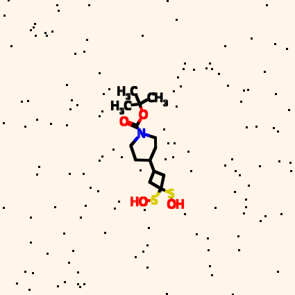 CC(C)(C)OC(=O)N1CCC(C2CC(SO)(SO)C2)CC1